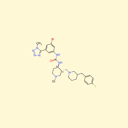 CCN1CC[C@@H](NC(=O)Nc2cc(Br)cc(-c3nnnn3C)c2)[C@H](CN2CCCC(Cc3ccc(F)cc3)C2)C1